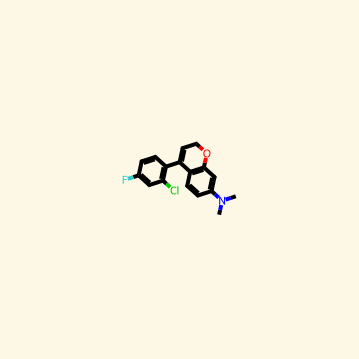 CN(C)c1ccc2c(c1)OCC=C2c1ccc(F)cc1Cl